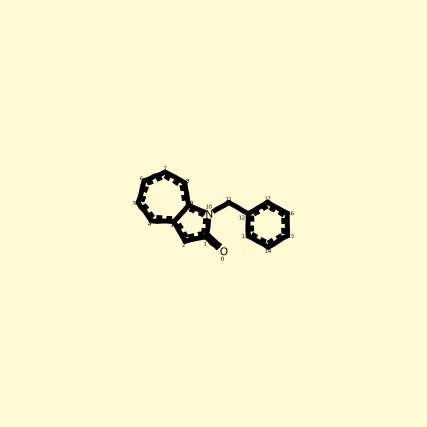 O=c1cc2cccccc-2n1Cc1ccccc1